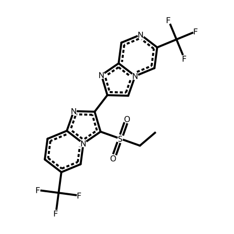 CCS(=O)(=O)c1c(-c2cn3cc(C(F)(F)F)ncc3n2)nc2ccc(C(F)(F)F)cn12